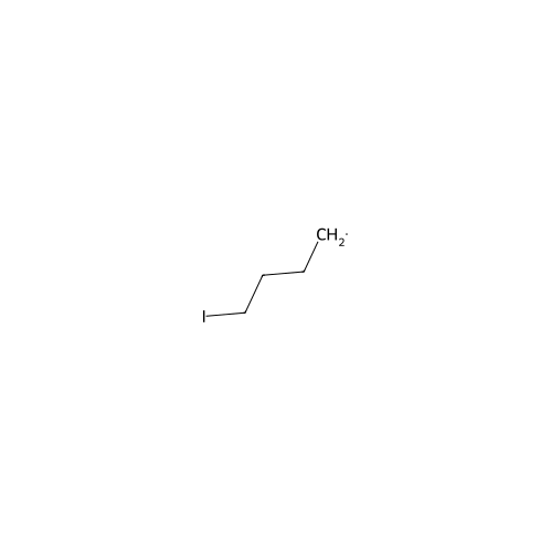 [CH2]CCCI